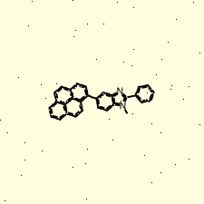 Cn1c(-c2ccccc2)nc2cc(-c3ccc4ccc5cccc6ccc3c4c56)ccc21